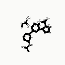 CC(=O)Nc1cccc(-c2ccc3[nH]c(=O)c4[nH]ccc4c3c2)c1.CCC(=O)O